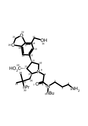 CCCCN(CCCN)C(=O)CN1C[C@H](c2cc(CO)c3c(c2)OCO3)[C@@H](C(=O)O)[C@@H]1CC(C)(C)CCC